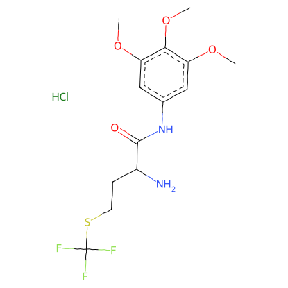 COc1cc(NC(=O)C(N)CCSC(F)(F)F)cc(OC)c1OC.Cl